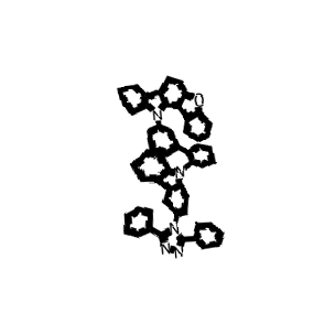 c1ccc(-c2nnc(-c3ccccc3)n2-c2ccc3c(c2)c2ccccc2n3-c2ccccc2-c2cccc(-n3c4ccccc4c4ccc5oc6ccccc6c5c43)c2)cc1